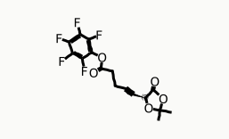 CC1(C)OC(=O)[C@H](C#CCCC(=O)Oc2c(F)c(F)c(F)c(F)c2F)O1